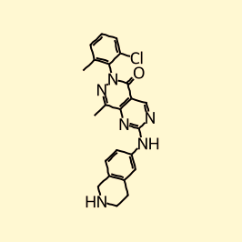 Cc1cccc(Cl)c1-n1nc(C)c2nc(Nc3ccc4c(c3)CCNC4)ncc2c1=O